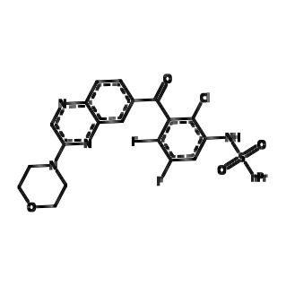 CCCS(=O)(=O)Nc1cc(F)c(F)c(C(=O)c2ccc3ncc(N4CCOCC4)nc3c2)c1Cl